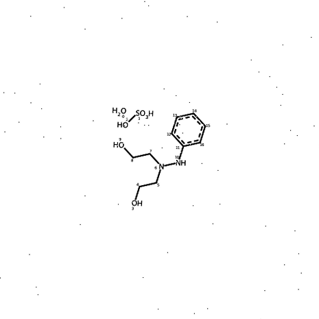 O.O=S(=O)(O)O.OCCN(CCO)Nc1ccccc1